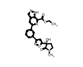 CCOC(=O)c1nc(-c2cccc(-c3cc([C@]4(O)CCN(C)C4=O)on3)c2)cc2cn[nH]c12